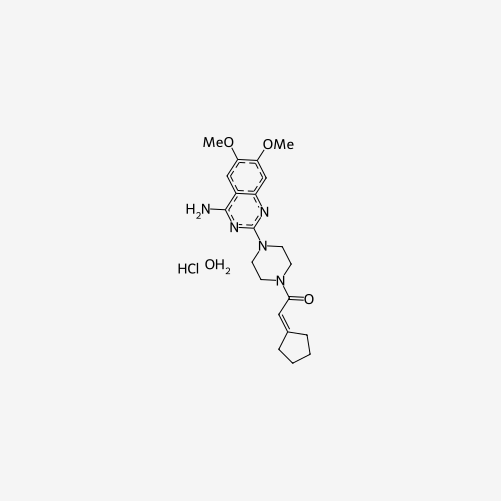 COc1cc2nc(N3CCN(C(=O)C=C4CCCC4)CC3)nc(N)c2cc1OC.Cl.O